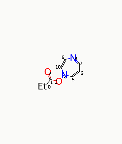 CCC(=O)ON1C=CC=NC=C1